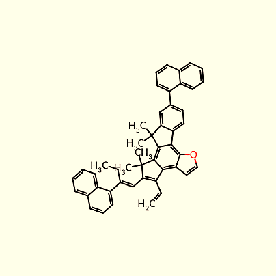 C=CC1=C(/C=C(\CC)c2cccc3ccccc23)C(C)(C)c2c3c(c4occc4c21)-c1ccc(-c2cccc4ccccc24)cc1C3(C)C